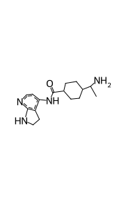 CC(N)C1CCC(C(=O)Nc2ccnc3c2CCN3)CC1